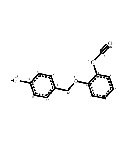 C#COc1ccccc1OCc1ccc(C)cc1